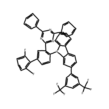 Fc1cccc(F)c1-c1ccc(-n2c3ccccc3c3ccc(-c4cc(C(F)(F)F)cc(C(F)(F)F)c4)cc32)c(-c2nc(-c3ccccc3)nc(-c3ccccc3)n2)c1